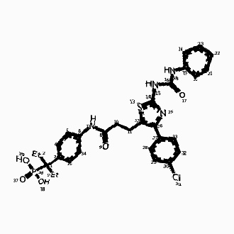 CCC(CC)(c1ccc(NC(=O)CCc2sc(NC(=O)Nc3ccccc3)nc2-c2ccc(Cl)cc2)cc1)P(=O)(O)O